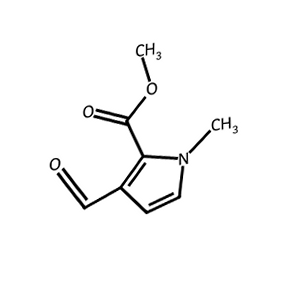 COC(=O)c1c(C=O)ccn1C